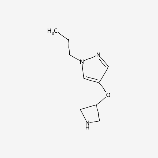 CCCn1cc(OC2CNC2)cn1